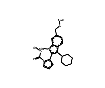 CCCCn1c(-c2cccn2C(=O)OC(C)(C)C)c(C2CCCCC2)c2ccc(COOC)cc21